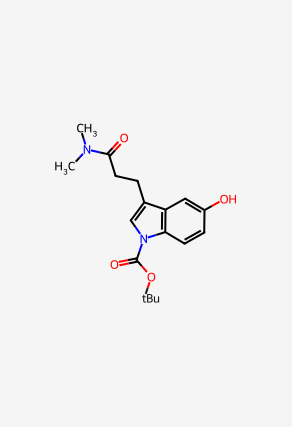 CN(C)C(=O)CCc1cn(C(=O)OC(C)(C)C)c2ccc(O)cc12